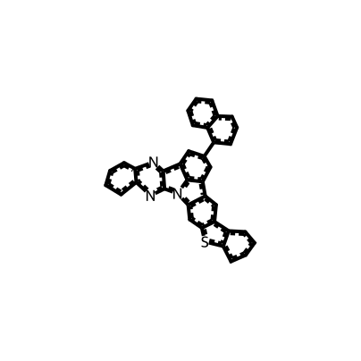 c1ccc2c(-c3cc4c5cc6c(cc5n5c7nc8ccccc8nc7c(c3)c45)sc3ccccc36)cccc2c1